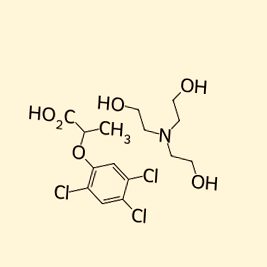 CC(Oc1cc(Cl)c(Cl)cc1Cl)C(=O)O.OCCN(CCO)CCO